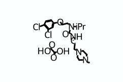 CC(C)N(CCOc1ccc(Cl)c(Cl)c1)C(=O)NCCCN1CCN(C)CC1.O=C(O)C(=O)O